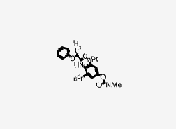 CCCc1cc(OC(=O)NC)cc(CCC)c1NC(=O)C(C)Oc1ccccc1